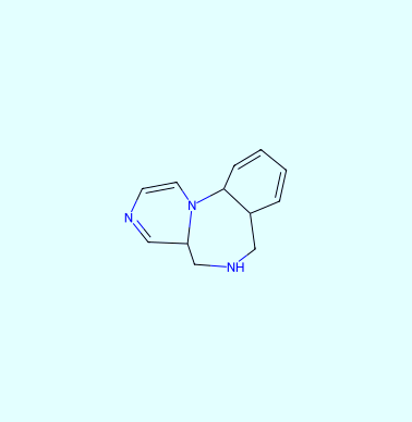 C1=CC2CNCC3C=NC=CN3C2C=C1